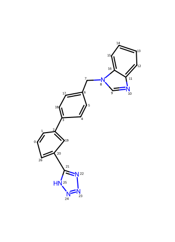 c1cc(-c2ccc(Cn3cnc4ccccc43)cc2)cc(-c2nnn[nH]2)c1